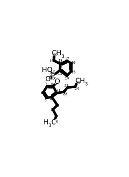 CCCCc1cccc(OP(=O)(O)c2ccccc2CC)c1CCCC